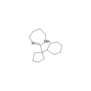 C1CCC(C2(C3=NCCCCN3)CCCC2)CC1